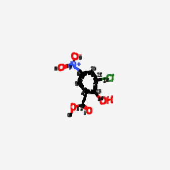 COC(=O)c1cc([N+](=O)[O-])cc(Cl)c1O